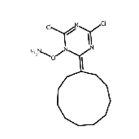 NON1C(Cl)=NC(Cl)=NC1=C1CCCCCCCCCC1